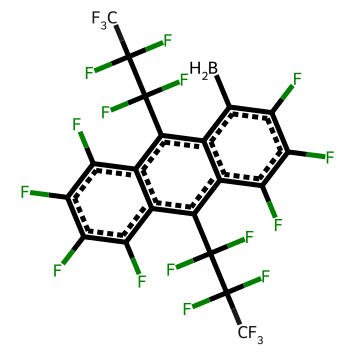 Bc1c(F)c(F)c(F)c2c(C(F)(F)C(F)(F)C(F)(F)F)c3c(F)c(F)c(F)c(F)c3c(C(F)(F)C(F)(F)C(F)(F)F)c12